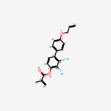 C=CCOc1ccc(-c2ccc(OC(=O)C(=C)C)c(F)c2F)cc1